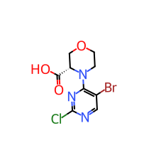 O=C(O)[C@@H]1COCCN1c1nc(Cl)ncc1Br